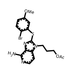 COc1ccc(Br)c(Sc2nc3c(N)nccc3n2CCCOC(C)=O)c1